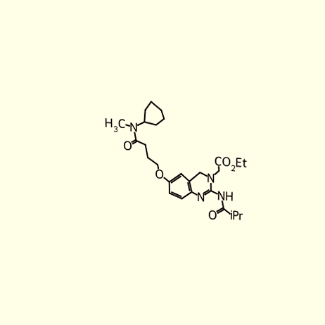 CCOC(=O)CN1Cc2cc(OCCCC(=O)N(C)C3CCCCC3)ccc2N=C1NC(=O)C(C)C